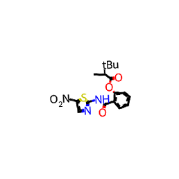 C[C@H](C(=O)Oc1ccccc1C(=O)Nc1ncc([N+](=O)[O-])s1)C(C)(C)C